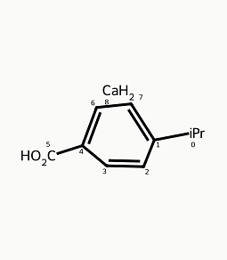 CC(C)c1ccc(C(=O)O)cc1.[CaH2]